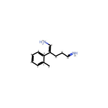 Cc1ccccc1/C(=C\N)CCC=N